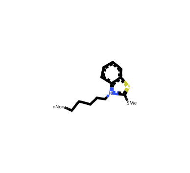 CCCCCCCCCCCCCC[n+]1c(SC)sc2ccccc21